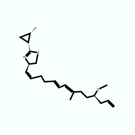 C=CC[C@@H](CC/C(C)=C/C=C/CC/C=C\[C@@H]1CSC([C@@H]2C[C@@H]2C)=N1)OC